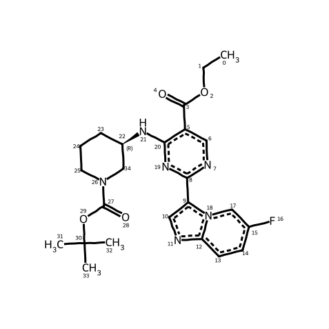 CCOC(=O)c1cnc(-c2cnc3ccc(F)cn23)nc1N[C@@H]1CCCN(C(=O)OC(C)(C)C)C1